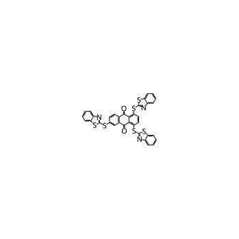 O=C1c2ccc(Sc3nc4ccccc4s3)cc2C(=O)c2c(Sc3nc4ccccc4s3)ccc(Sc3nc4ccccc4s3)c21